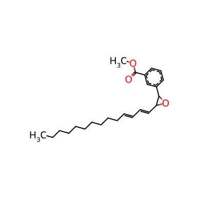 CCCCCCCCCCC=CC=CC1OC1c1cccc(C(=O)OC)c1